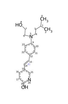 CC(C)CCN(CCO)c1ccc(/C=C/c2ccc(O)nc2)cc1